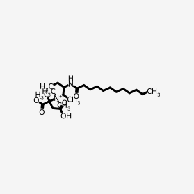 CCCCCCCCCCCC(=O)NC(CC)C(C)[N+](C)(C)C(C)(CC(=O)O)C(=O)[O-]